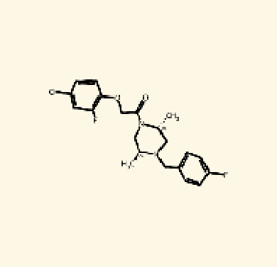 C[C@@H]1CN(Cc2ccc(F)cc2)[C@@H](C)CN1C(=O)COc1ccc(Cl)cc1F